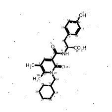 Cc1cc(C(=O)N[C@@H](Cc2ccc(O)cc2)C(=O)O)c(=O)n(CC2CCCCC2)c1C